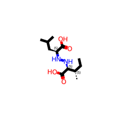 CC[C@H](C)[C@H](NN[C@@H](CC(C)C)C(=O)O)C(=O)O